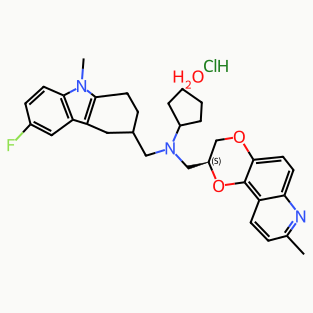 Cc1ccc2c3c(ccc2n1)OC[C@H](CN(CC1CCc2c(c4cc(F)ccc4n2C)C1)C1CCCC1)O3.Cl.O